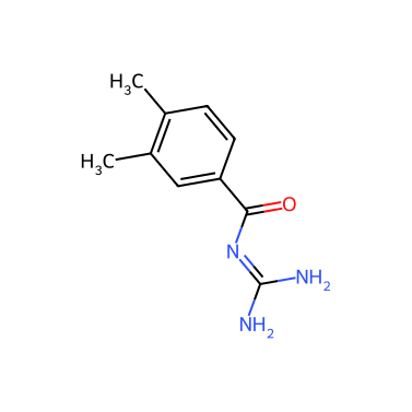 Cc1ccc(C(=O)N=C(N)N)cc1C